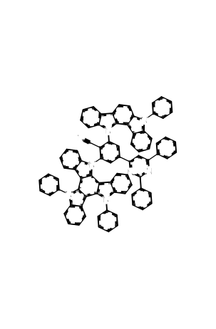 N#Cc1c(-n2c3ccccc3c3ccc4c(c5ccccc5n4-c4ccccc4)c32)cc(-c2cc(-c3ccccc3)nc(-c3ccccc3)n2)cc1-n1c2ccccc2c2c3c(c4ccccc4n3-c3ccccc3)c3c(c4ccccc4n3-c3ccccc3)c21